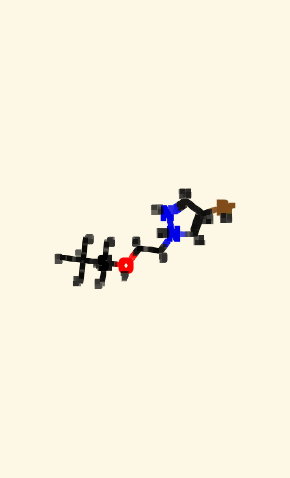 CC(C)(C)[Si](C)(C)OCCn1cc(Br)cn1